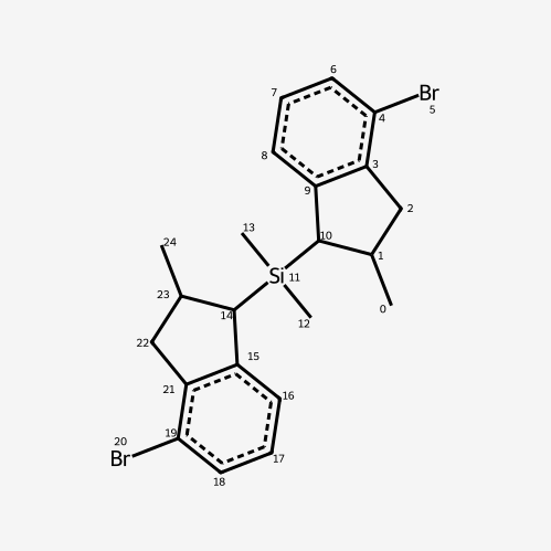 CC1Cc2c(Br)cccc2C1[Si](C)(C)C1c2cccc(Br)c2CC1C